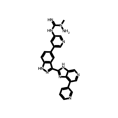 CN(N)C(=N)Nc1cncc(-c2ccc3[nH]nc(-c4nc5c(-c6cccnc6)cncc5[nH]4)c3c2)c1